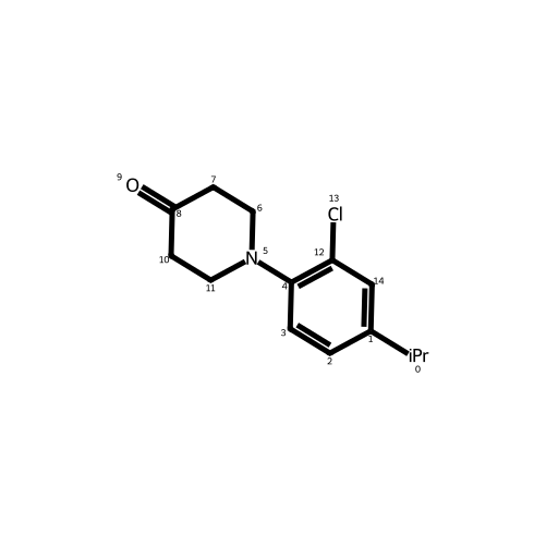 CC(C)c1ccc(N2CCC(=O)CC2)c(Cl)c1